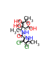 Cc1[nH]c(C(=O)NC(C)[C@]2(O)CC(O)OC(C)[C@H]2O)c(Cl)c1Cl